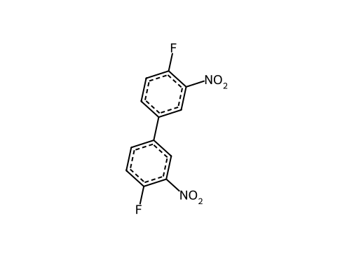 O=[N+]([O-])c1cc(-c2ccc(F)c([N+](=O)[O-])c2)ccc1F